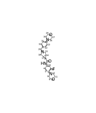 O=C(Nc1ccc(N2CCOCC2)c(F)c1)C1C2CN(Cc3ccc(N4CCOCC4)cc3)CC21